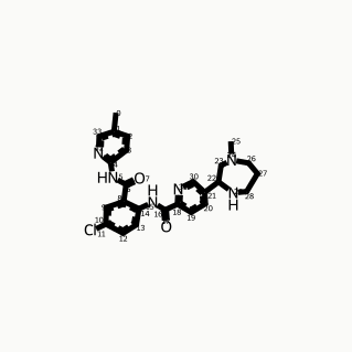 Cc1ccc(NC(=O)c2cc(Cl)ccc2NC(=O)c2ccc(C3CN(C)CCCN3)cn2)nc1